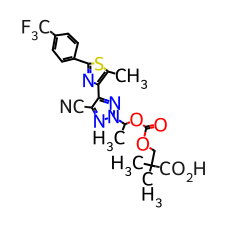 Cc1sc(-c2ccc(C(F)(F)F)cc2)nc1-c1nn(C(C)OC(=O)OCC(C)(C)C(=O)O)nc1C#N